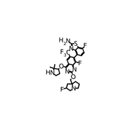 CC1(C)NCCC1Oc1nc(OCC23CCCN2CC(F)C3)nc2c(F)c(-c3ccc(F)c4sc(N)nc34)c(C(F)(F)F)cc12